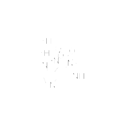 [2H]C([2H])OOC(=O)N1C2CCC1(c1ncnc3ccncc13)CNC2